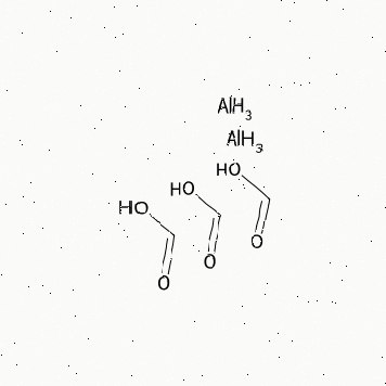 O=CO.O=CO.O=CO.[AlH3].[AlH3]